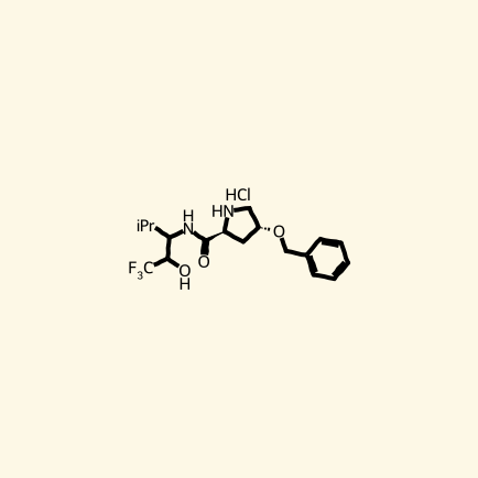 CC(C)C(NC(=O)[C@@H]1C[C@@H](OCc2ccccc2)CN1)C(O)C(F)(F)F.Cl